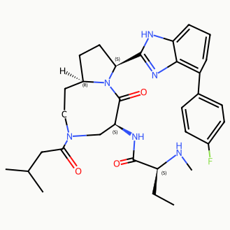 CC[C@H](NC)C(=O)N[C@H]1CN(C(=O)CC(C)C)CC[C@H]2CC[C@@H](c3nc4c(-c5ccc(F)cc5)cccc4[nH]3)N2C1=O